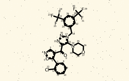 O=C(c1[c]noc1-c1ccccc1Cl)c1nnn(Cc2cc(C(F)(F)F)cc(C(F)(F)F)c2)c1N1CCOCC1